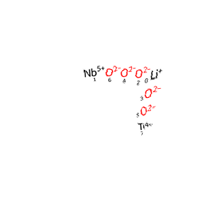 [Li+].[Nb+5].[O-2].[O-2].[O-2].[O-2].[O-2].[Ti+4]